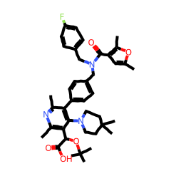 Cc1cc(C(=O)N(Cc2ccc(F)cc2)Cc2ccc(-c3c(C)nc(C)c(C(OC(C)(C)C)C(=O)O)c3N3CCC(C)(C)CC3)cc2)c(C)o1